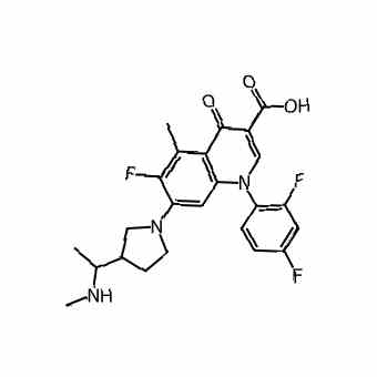 CNC(C)C1CCN(c2cc3c(c(C)c2F)c(=O)c(C(=O)O)cn3-c2ccc(F)cc2F)C1